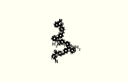 N#Cc1nccc(C(=O)N2CCN(Cc3ccc(-n4c(-c5cccnc5N)nc5ccc(-c6ccc(-c7nc8cccnc8n7-c7ccc(CN8CCN(C(=O)c9cccnc9C#N)CC8)cc7)c(N)n6)nc54)cc3)CC2)n1